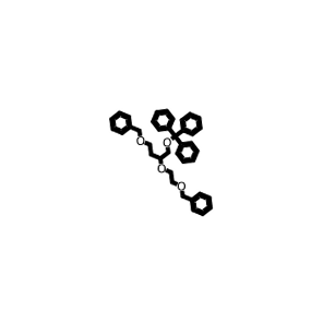 c1ccc(COCCOC(CCOCc2ccccc2)COC(c2ccccc2)(c2ccccc2)c2ccccc2)cc1